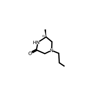 CCCN1CC(=O)N[C@@H](C)C1